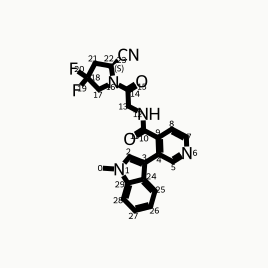 Cn1cc(-c2cnccc2C(=O)NCC(=O)N2CC(F)(F)C[C@H]2C#N)c2ccccc21